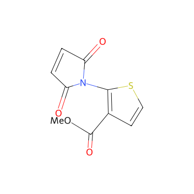 COC(=O)c1ccsc1N1C(=O)C=CC1=O